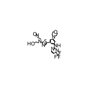 O=NCCN(CCO)c1ncc(-c2cc(Nc3nccc(C(F)(F)F)n3)cc(N3CCOCC3)c2)s1